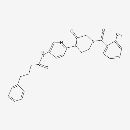 O=C(CCCc1ccccc1)Nc1ccc(N2CCN(C(=O)c3ccccc3C(F)(F)F)CC2=O)nc1